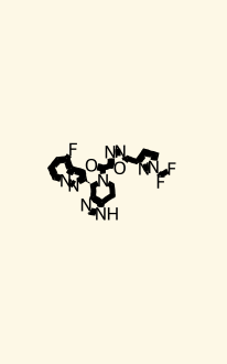 O=C(c1nnc(-c2ccn(C(F)F)n2)o1)N1CCc2[nH]cnc2[C@@H]1c1cc2c(F)cccn2n1